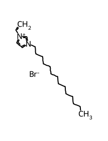 C=C[n+]1ccn(CCCCCCCCCCCCCC)c1.[Br-]